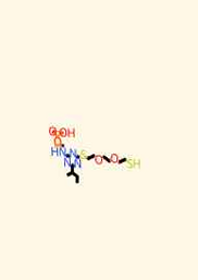 CCC(C)c1nc(NCO[PH](=O)O)nc(SCCOCCOCCS)n1